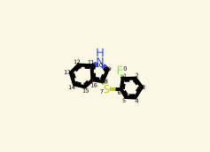 Fc1ccccc1Sc1c[nH]c2ccccc12